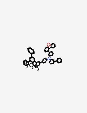 CC1(C)c2ccc(-c3ccc(N(c4cccc(-c5ccccc5)c4)c4cccc(-c5cccc6oc7ccccc7c56)c4)cc3)cc2-c2cc(-c3ccccc3)cc(-c3ccccc3)c21